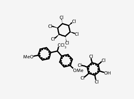 COc1ccc(C(c2ccc(OC)cc2)C(Cl)(Cl)Cl)cc1.Cl[C@H]1[C@H](Cl)[C@@H](Cl)[C@@H](Cl)[C@H](Cl)[C@H]1Cl.Oc1c(Cl)c(Cl)c(Cl)c(Cl)c1Cl